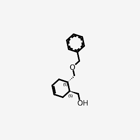 OC[C@H]1CC=CC[C@@H]1COCc1ccccc1